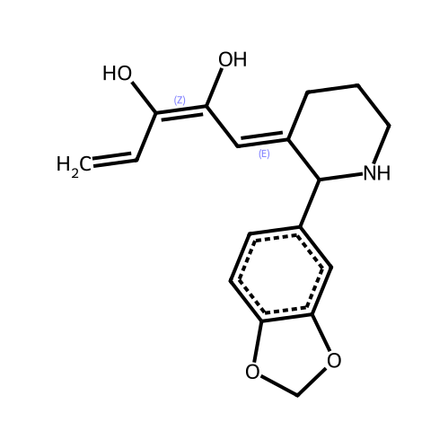 C=C/C(O)=C(O)\C=C1/CCCNC1c1ccc2c(c1)OCO2